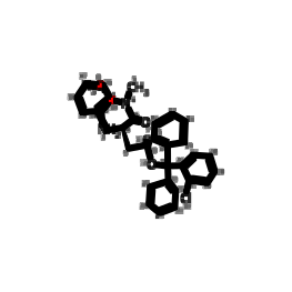 C[C@@H](CN)N(C)C(=O)[C@@H](CC(=O)OC(c1ccccc1)(c1ccccc1)c1ccccc1Cl)Cc1ccccc1